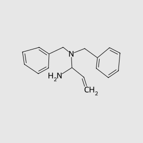 C=CC(N)N(Cc1ccccc1)Cc1ccccc1